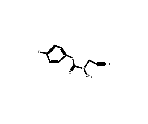 C#CCN(C)C(=O)Oc1ccc(F)cc1